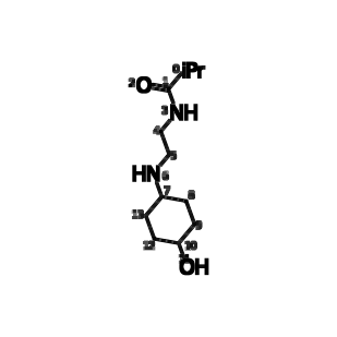 CC(C)C(=O)NCCNC1CCC(O)CC1